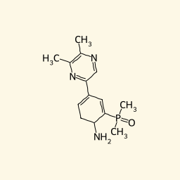 Cc1ncc(C2=CCC(N)C(P(C)(C)=O)=C2)nc1C